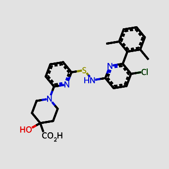 Cc1cccc(C)c1-c1nc(NSc2cccc(N3CCC(O)(C(=O)O)CC3)n2)ccc1Cl